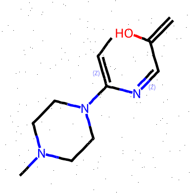 C=C(O)/C=N\C(=C/C)N1CCN(C)CC1